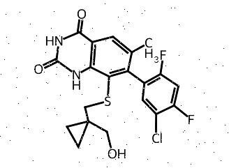 Cc1cc2c(=O)[nH]c(=O)[nH]c2c(SCC2(CO)CC2)c1-c1cc(Cl)c(F)cc1F